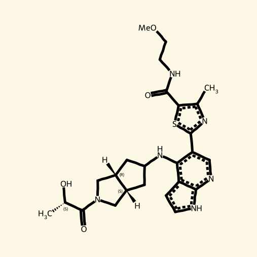 COCCNC(=O)c1sc(-c2cnc3[nH]ccc3c2NC2C[C@@H]3CN(C(=O)[C@H](C)O)C[C@@H]3C2)nc1C